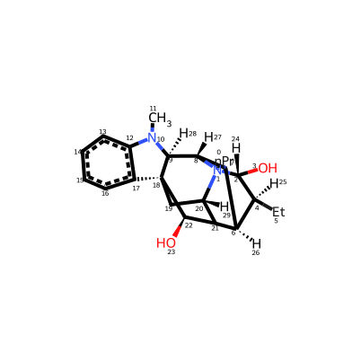 CCC[N+]12[C@H](O)[C@@H](CC)[C@@H]3C[C@H]1[C@@H]1N(C)c4ccccc4[C@]14C[C@H]2C3[C@H]4O